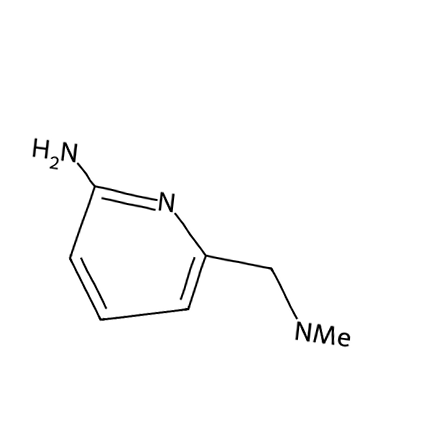 CNCc1cccc(N)n1